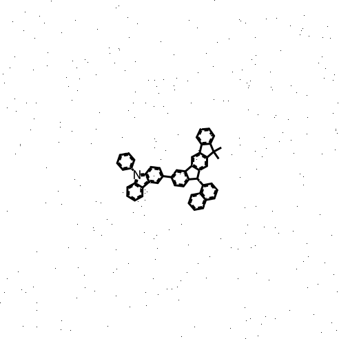 CC1(C)c2ccccc2-c2cc3c(cc21)C(c1cccc2ccccc12)c1ccc(-c2ccc4c(c2)c2ccccc2n4-c2ccccc2)cc1-3